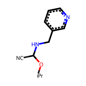 CC(C)OC(C#N)NCc1cccnc1